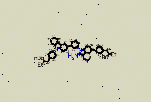 C/C=C\c1c(N)n(-c2cccc(-c3ccc4c(c3)c3ccccc3n4-c3ccc(CC(CC)CCCC)cc3)c2)c2ccc(-c3ccc(CC(CC)CCCC)cc3)cc12